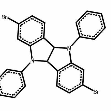 Brc1ccc2c(c1)N(c1ccccc1)C1c3ccc(Br)cc3N(c3ccccc3)C21